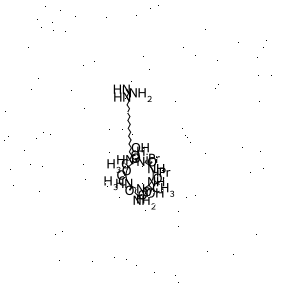 CC1NC(=O)C(CC(N)=O)NC(=O)C(C(C)O)NC(=O)C(C(C)C)NC(=O)C(C(C)C)NC(=O)C(NC(=O)CC(O)CCCCCCCCCCCCNC(=N)N)C(C)OC1=O